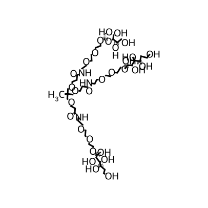 CC(COCCC(=O)NCCOCCOCCO[C@H](CO)OC(CO)[C@@H](O)CO)(COCCC(=O)NCCOCCOCCO[C@@H](O)C(O)C(O)[C@H](O)CCO)COCCC(=O)NCCOCCOCCO[C@@H](O)C(O)C(O)[C@H](O)CCO